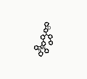 c1ccc(-c2cccc(C(c3cccc(-c4ccc5c(c4)c4c6ccccc6n(-c6ccccc6)c4n5-c4ccccc4)c3)c3ccc4c(c3)oc3ccccc34)c2)cc1